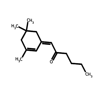 CCCCC(=O)/C=C1\C=C(C)CC(C)(C)C1